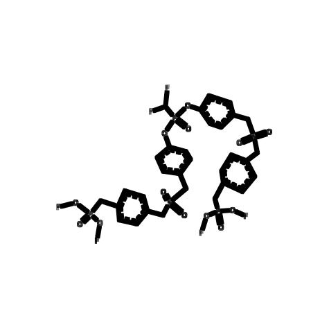 O=P(Cc1ccc(CS(=O)(=O)Cc2ccc(OP(=O)(Oc3ccc(CS(=O)(=O)Cc4ccc(CP(=O)(OF)OF)cc4)cc3)C(F)F)cc2)cc1)(OF)OF